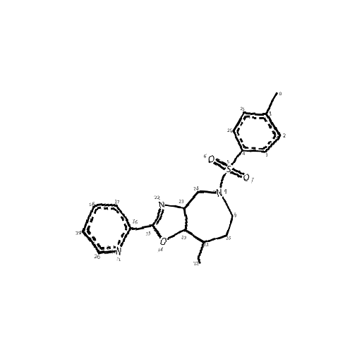 Cc1ccc(S(=O)(=O)N2CCC(C)C3OC(c4ccccn4)=NC3C2)cc1